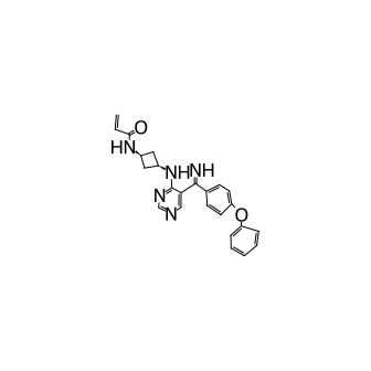 C=CC(=O)N[C@H]1C[C@@H](Nc2ncncc2C(=N)c2ccc(Oc3ccccc3)cc2)C1